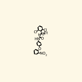 CCOC(=NC(=O)Nc1ccc(Oc2ccccc2[N+](=O)[O-])cc1)c1c(Cl)cccc1Cl